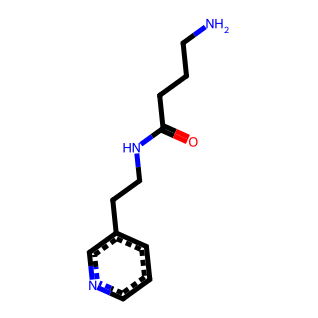 NCCCC(=O)NCCc1cccnc1